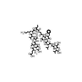 CC[C@H](C)[C@H](NC(=O)[C@H](CCCCN)NC(=O)[C@@H](NC(=O)[C@@H](NC(=O)[C@H](CC(C)C)NC(=O)[C@H](CC(=O)O)NC(=O)[C@@H](N)CCC(=O)O)[C@@H](C)O)C(C)C)C(=O)NCC(=O)N[C@@H](CC(=O)O)C(=O)N[C@@H](Cc1ccccc1)C(=O)NCC(=O)N[C@@H](CC(C)C)C(=O)N[C@@H](C)C(=O)N[C@H](C(=O)N[C@H](C(=O)O)C(C)C)[C@@H](C)O